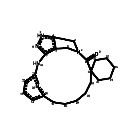 O=C1N2Cc3[nH]nc(c3C2)Nc2cccc(n2)CCCCCC12CCCCC2